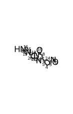 O=Nc1cccc(-c2cc(=O)n3cc(N4CCNCC4)ccc3n2)c1